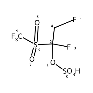 O=S(=O)(O)OC(F)(CF)S(=O)(=O)C(F)(F)F